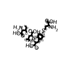 CC(C)CC(N)C(=O)O.CCC(C)C(N)C(=O)O.CSCCC(N)C(=O)O.NC(Cc1ccccc1)C(=O)O